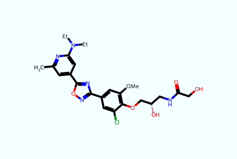 CCN(CC)c1cc(-c2nc(-c3cc(Cl)c(OC[C@@H](O)CNC(=O)CO)c(OC)c3)no2)cc(C)n1